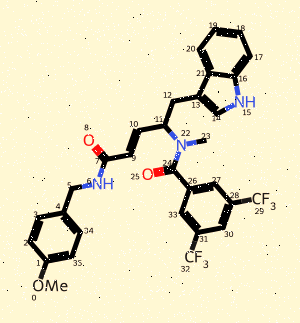 COc1ccc(CNC(=O)C=CC(Cc2c[nH]c3ccccc23)N(C)C(=O)c2cc(C(F)(F)F)cc(C(F)(F)F)c2)cc1